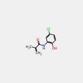 C=C(C)C(=O)Nc1cc(Cl)ccc1O